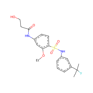 CCOc1cc(NC(=O)CCO)ccc1S(=O)(=O)Nc1cccc(C(C)(C)F)c1